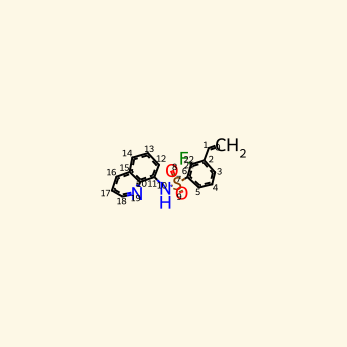 C=Cc1cccc(S(=O)(=O)Nc2cccc3cccnc23)c1F